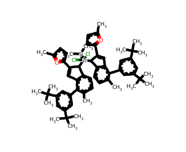 Cc1ccc(C2=Cc3c(ccc(C)c3-c3cc(C(C)(C)C)cc(C(C)(C)C)c3)[CH]2[Zr]([Cl])([Cl])([CH]2C(c3ccc(C)o3)=Cc3c2ccc(C)c3-c2cc(C(C)(C)C)cc(C(C)(C)C)c2)=[Si](C)C)o1